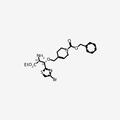 CCOC(=O)[C@@H](N)[C@H](OCC1=CCN(C(=O)OCc2ccccc2)CC1)c1nc(Br)cs1